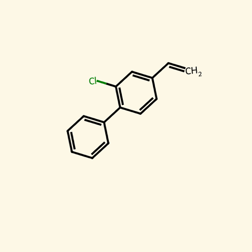 C=Cc1ccc(-c2ccccc2)c(Cl)c1